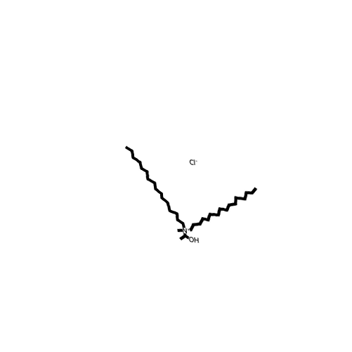 CCCCCCCCCCCCCCCC[N+](C)(CCCCCCCCCCCCCCCC)C(C)O.[Cl-]